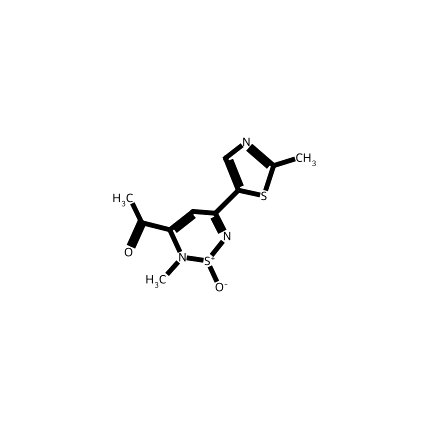 CC(=O)C1=CC(c2cnc(C)s2)=N[S+]([O-])N1C